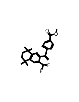 C=C(c1ccc(C(=O)OC)cc1)c1cc2c(cc1C(F)F)C(C)(C)CCC2(C)C